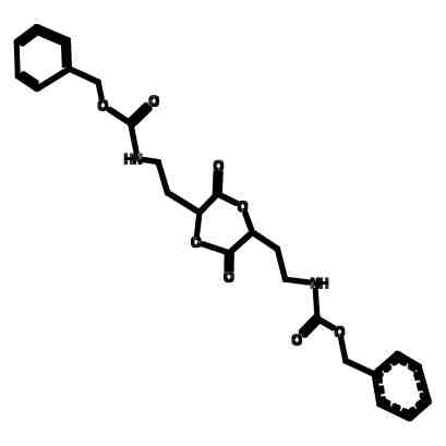 O=C(NCCC1OC(=O)C(CCNC(=O)OCc2ccccc2)OC1=O)OCC1=C=C=CC=C1